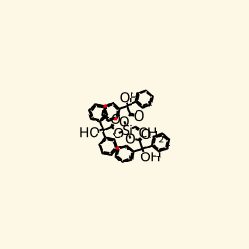 C=C[Si](OC(=O)C(O)(c1ccccc1)c1ccccc1)(OC(=O)C(O)(c1ccccc1)c1ccccc1)OC(=O)C(O)(c1ccccc1)c1ccccc1